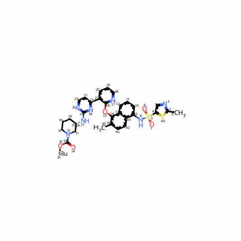 Cc1ncc(S(=O)(=O)Nc2cccc3c(Oc4ncccc4-c4ccnc(N[C@H]5CCCN(C(=O)OC(C)(C)C)C5)n4)c(C)ccc23)s1